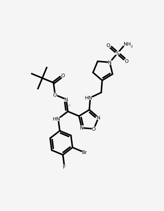 CC(C)(C)C(=O)O/N=C(\Nc1ccc(F)c(Br)c1)c1nonc1NCC1=CN(S(N)(=O)=O)CC1